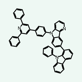 c1ccc(-c2cc(-c3ccc(-n4c5ccc(-c6cccc7c8ccccc8n(-c8ccccc8)c67)cc5c5ncccc54)cc3)cc(-c3ccccc3)n2)cc1